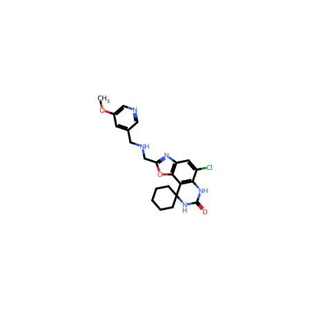 COc1cncc(CNCc2nc3cc(Cl)c4c(c3o2)C2(CCCCC2)NC(=O)N4)c1